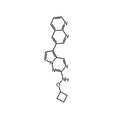 c1cnc2ncc(-c3ccn4nc(NOC5CCC5)ncc34)cc2c1